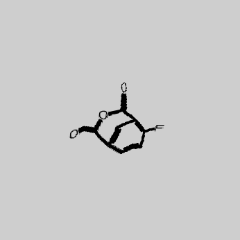 O=C1OC(=O)c2cc1ccc2F